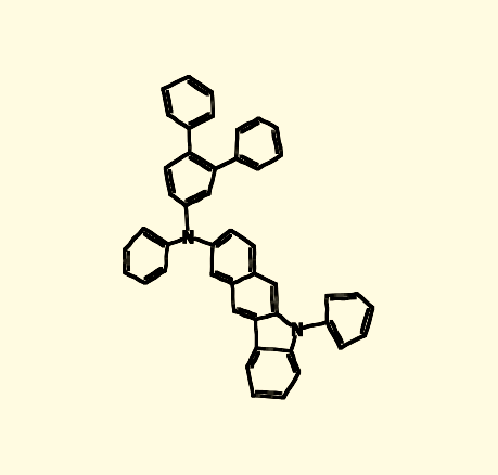 c1ccc(-c2ccc(N(c3ccccc3)c3ccc4cc5c(cc4c3)c3ccccc3n5-c3ccccc3)cc2-c2ccccc2)cc1